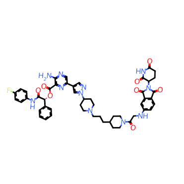 Nc1ncc(-c2cnn(C3CCN(CCCC4CCN(C(=O)CNc5ccc6c(c5)C(=O)N(C5CCC(=O)NC5=O)C6=O)CC4)CC3)c2)nc1C(=O)O[C@@H](C(=O)Nc1ccc(F)cc1)c1ccccc1